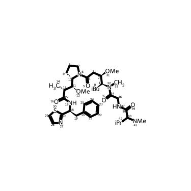 CC[C@H](C)[C@@H]([C@@H](CC(=O)N1CCC[C@H]1[C@H](OC)[C@@H](C)C(=O)N[C@@H](Cc1ccccc1)c1nccs1)OC)N(C)C(=O)CNC(=O)C(NC)C(C)C